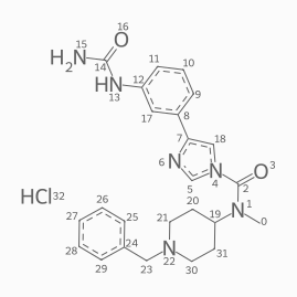 CN(C(=O)n1cnc(-c2cccc(NC(N)=O)c2)c1)C1CCN(Cc2ccccc2)CC1.Cl